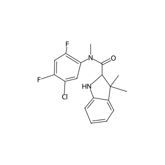 CN(C(=O)C1Nc2ccccc2C1(C)C)c1cc(Cl)c(F)cc1F